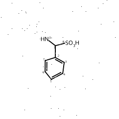 [NH]C(c1ccccc1)S(=O)(=O)O